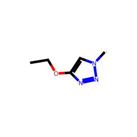 [CH2]n1cc(OCC)nn1